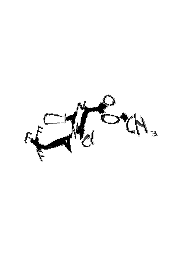 CCOC(=O)c1nc(Cl)n(C2CC2C(F)(F)F)c1Cl